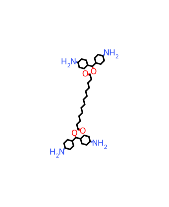 NC1CCC(C(OC(=O)CCCCCCCCCCCCC(=O)OC(C2CCC(N)CC2)C2CCC(N)CC2)C2CCC(N)CC2)CC1